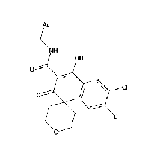 CC(=O)CNC(=O)C1=C(O)c2cc(Cl)c(Cl)cc2C2(CCOCC2)C1=O